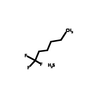 CCCCCC(F)(F)F.S